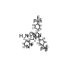 NC(=O)C(=Cn1nc(-c2ccc(C(F)(F)F)cc2)nc1-c1ccc(C(F)(F)F)cc1)c1cccnc1F